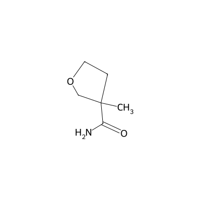 CC1(C(N)=O)CCOC1